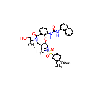 COc1ccc(S(=O)(=O)N(C)CC2Oc3c(NC(=O)Nc4cccc5ccccc45)cccc3C(=O)N(C(C)CO)CC2C)cc1C